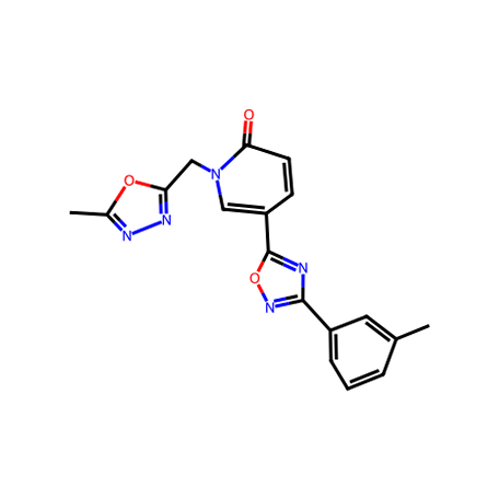 Cc1cccc(-c2noc(-c3ccc(=O)n(Cc4nnc(C)o4)c3)n2)c1